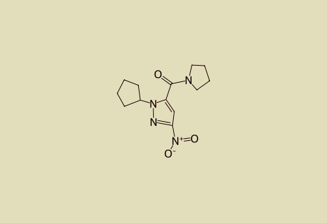 O=C(c1cc([N+](=O)[O-])nn1C1CCCC1)N1CCCC1